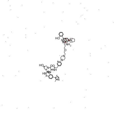 Cc1ncsc1-c1ccc([C@H](C)NC(=O)[C@@H]2C[C@@H](O)CN2C(=O)[C@@H](NC(=O)Cc2ccc(N3CCN(CCOCCCc4cc(N5C6CCC5CN(c5cc(-c7ccccc7O)nnc5N)C6)ccn4)CC3)nc2)C(C)(C)C)cc1